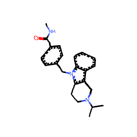 CNC(=O)c1ccc(Cn2c3c(c4ccccc42)CN(C(C)C)CC3)cc1